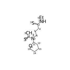 CCNC(=S)CCCN(C(C)=S)C1CCCCO1